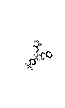 CS(=O)(=O)c1ccc(S(=O)(=O)N(CCC(=O)NO)C(S)Cc2ccccc2)cc1